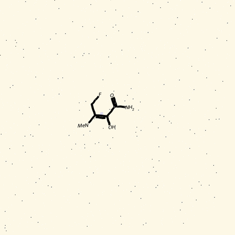 CN/C(CF)=C(\O)C(N)=O